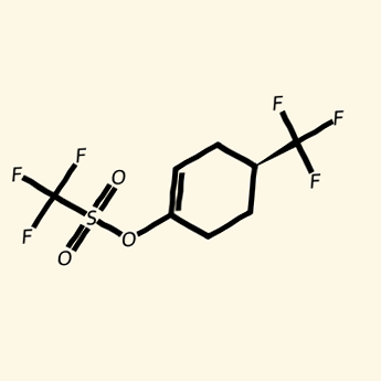 O=S(=O)(OC1=CC[C@@H](C(F)(F)F)CC1)C(F)(F)F